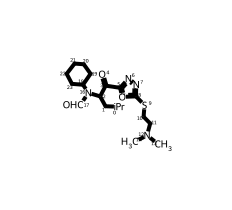 CC(C)CC(C(=O)c1nnc(SCCN(C)C)o1)N(C=O)C1CCCCC1